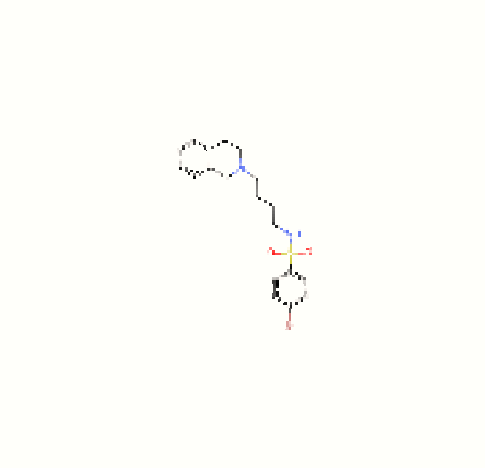 O=S(=O)(NCCCCN1CCc2ccccc2C1)c1ccc(Br)cc1